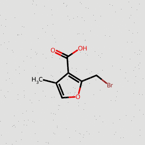 Cc1coc(CBr)c1C(=O)O